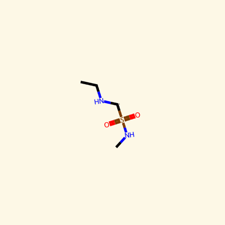 CCN[CH]S(=O)(=O)NC